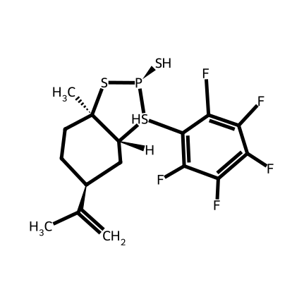 C=C(C)[C@H]1CC[C@@]2(C)S[P@@](S)[SH](c3c(F)c(F)c(F)c(F)c3F)[C@@H]2C1